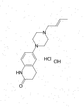 CC=CCN1CCN(c2ccc3c(c2)CCC(=O)N3)CC1.Cl.Cl